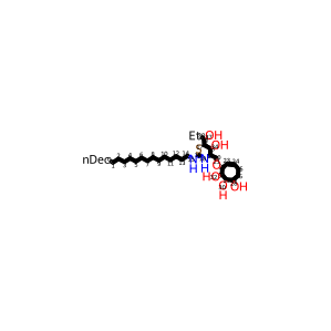 CCCCCCCCCCCCCCCCCCCCCCCCNC(=S)NC(COC1/C=C\CCC(O)C(O)C1O)C(O)CC(O)CC